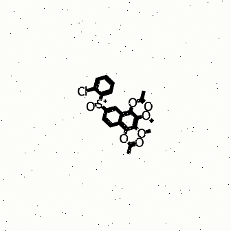 COc1c(OC)c(OC(C)=O)c2cc([S+]([O-])c3ccccc3Cl)ccc2c1OC(C)=O